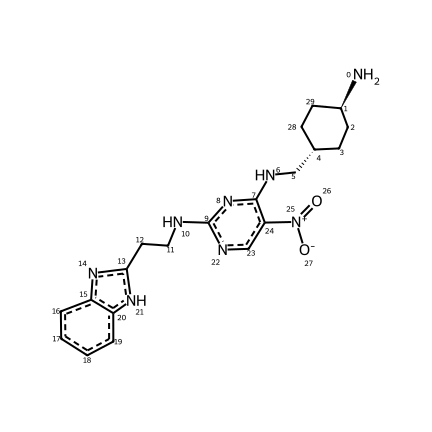 N[C@H]1CC[C@H](CNc2nc(NCCc3nc4ccccc4[nH]3)ncc2[N+](=O)[O-])CC1